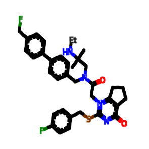 CCNC(C)(C)CN(Cc1ccc(-c2ccc(CF)cc2)cc1)C(=O)Cn1c(SCc2ccc(F)cc2)nc(=O)c2c1CCC2